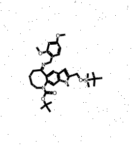 COc1ccc(C/N=C2/CCCCN(C(=O)OC(C)(C)C)c3cc4c(cc32)cc(CO[Si](C)(C)C(C)(C)C)n4C)c(OC)c1